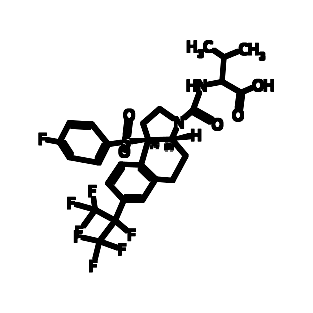 CC(C)C(NC(=O)N1CC[C@@]2(S(=O)(=O)c3ccc(F)cc3)c3ccc(C(F)(C(F)(F)F)C(F)(F)F)cc3CC[C@@H]12)C(=O)O